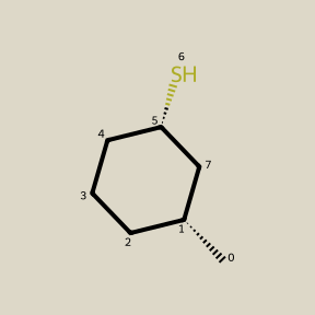 C[C@@H]1CCC[C@H](S)C1